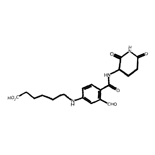 O=Cc1cc(NCCCCCC(=O)O)ccc1C(=O)NC1CCC(=O)NC1=O